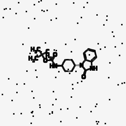 CC(C)(C)OC(=O)N[C@H]1CC[C@H](n2c(=O)[nH]c3ccccc32)CC1